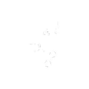 CN(CC(=O)OSI)C(=O)CCCN(C)C(=O)OCC1c2ccccc2-c2ccccc21